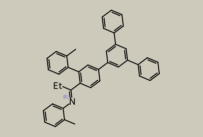 CC/C(=N\c1ccccc1C)c1ccc(-c2cc(-c3ccccc3)cc(-c3ccccc3)c2)cc1-c1ccccc1C